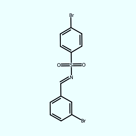 O=S(=O)(/N=C/c1cccc(Br)c1)c1ccc(Br)cc1